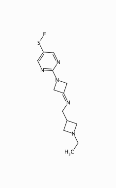 CCN1CC(CN=C2CN(c3ncc(SF)cn3)C2)C1